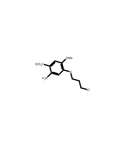 CCOC(=O)c1cc(OC)c(OCCCCl)cc1N